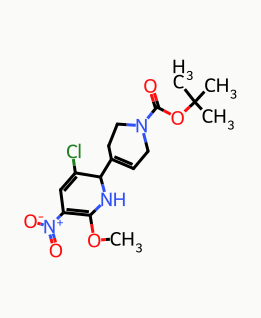 COC1=C([N+](=O)[O-])C=C(Cl)C(C2=CCN(C(=O)OC(C)(C)C)CC2)N1